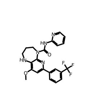 COc1cc(-c2cccc(C(F)(F)F)c2)nc2c1NCCCN2C(=O)Nc1ccccn1